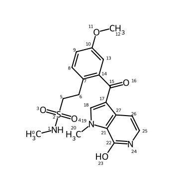 CNS(=O)(=O)CCc1ccc(OC)cc1C(=O)c1cn(C)c2c(O)nccc12